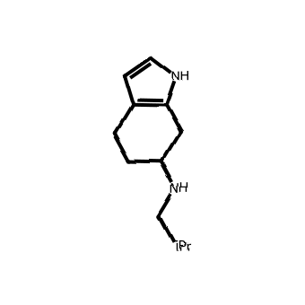 CC(C)CNC1CCc2cc[nH]c2C1